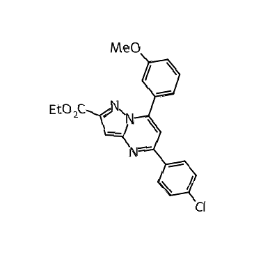 CCOC(=O)c1cc2nc(-c3ccc(Cl)cc3)cc(-c3cccc(OC)c3)n2n1